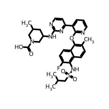 Cc1ccc2c(NS(=O)(=O)CC(C)C)c(F)ccc2c1Oc1ncccc1-c1ccnc(NC2CC(C)CN(C(=O)O)C2)n1